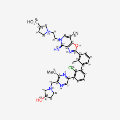 COc1nc(-c2cccc(-c3cccc(-c4nc5c(=N)n(CCN6CC[C@@H](C(=O)O)C6)cc(C#N)c5o4)c3C)c2Cl)cnc1CN1CC[C@@H](O)C1